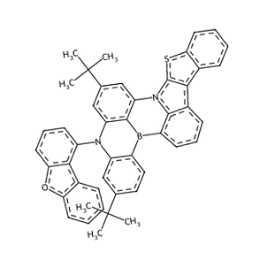 CC(C)(C)c1ccc2c(c1)N(c1cccc3oc4ccccc4c13)c1cc(C(C)(C)C)cc3c1B2c1cccc2c4c5ccccc5sc4n-3c12